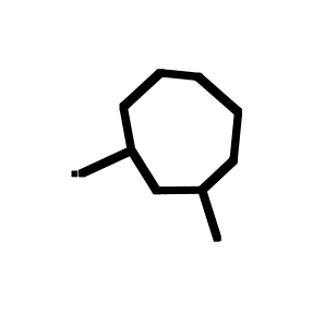 [CH2]C1CCCCCC(C)C1